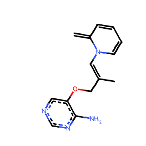 C=C1C=CC=CN1/C=C(\C)COc1cncnc1N